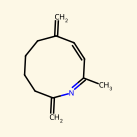 C=C1/C=C\C(C)=N/C(=C)CCCC1